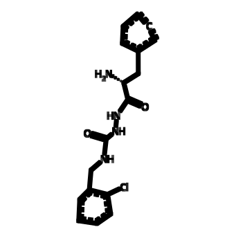 N[C@H](Cc1ccccc1)C(=O)NNC(=O)NCc1ccccc1Cl